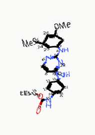 COc1cc(Nc2nccc(Nc3ccc(NC(=O)OC(C)(C)C)cc3)n2)cc(SC)c1